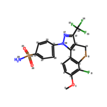 COc1ccc2c(c1F)SCc1c(C(F)(F)F)nn(-c3ccc(S(N)(=O)=O)cc3)c1-2